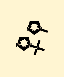 C[Si](C)(C)n1ccnc1.Cn1ccnc1